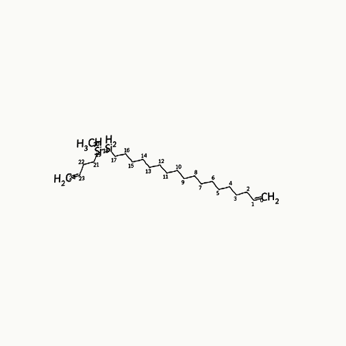 C=CCCCCCCCCCCCCCCCC[SiH2][SiH](C)CCC=C